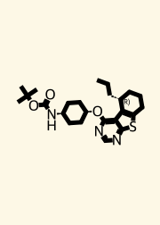 CCC[C@@H]1CCCc2sc3ncnc(O[C@H]4CC[C@@H](NC(=O)OC(C)(C)C)CC4)c3c21